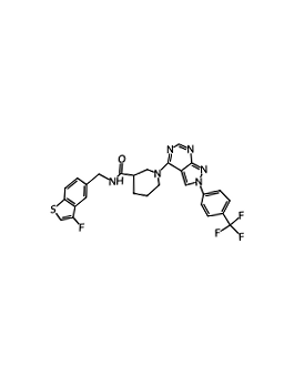 O=C(NCc1ccc2scc(F)c2c1)C1CCCN(c2ncnc3nn(-c4ccc(C(F)(F)F)cc4)cc23)C1